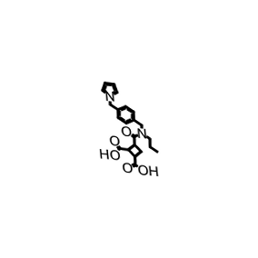 CCCN(Cc1ccc(Cn2cccc2)cc1)C(=O)C1CC(C(=O)O)C1C(=O)O